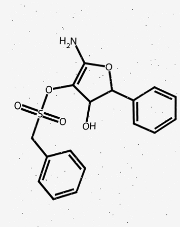 NC1=C(OS(=O)(=O)Cc2ccccc2)C(O)C(c2ccccc2)O1